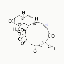 C[C@@H]1C2OC2C[C@H]2C=C[C@H]3C/C=C\C4OC4[C@H](C)OC(=O)CC(=O)C(Cl)(Cl)C(=O)C3C12